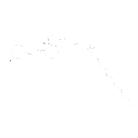 C=C1/C(=C\C=C2/CCC[C@]3(C)[C@@H]([C@H](C)CCCC(C)(O)CCCCCCCCCCO)CC[C@@H]23)C[C@@H](O)C[C@@H]1O